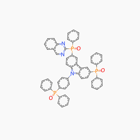 O=P(c1ccccc1)(c1ccccc1)c1ccc(-n2c3ccc(P(=O)(c4ccccc4)c4ccccc4)cc3c3cc(P(=O)(c4ccccc4)c4ncc5ccccc5n4)ccc32)cc1